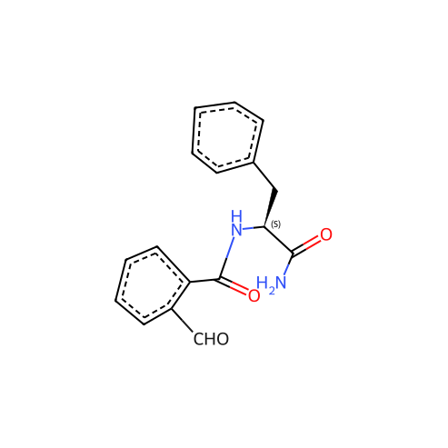 NC(=O)[C@H](Cc1ccccc1)NC(=O)c1ccccc1C=O